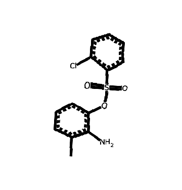 Cc1cccc(OS(=O)(=O)c2ccccc2Cl)c1N